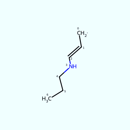 [CH2]C=CNCCC